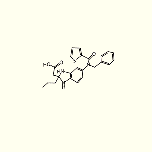 CCCC1(CC(=O)O)Nc2ccc(N(Cc3ccccc3)C(=O)c3cccs3)cc2N1